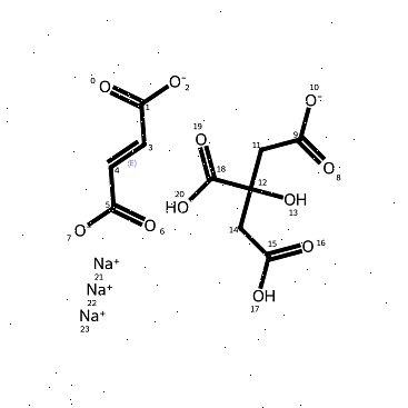 O=C([O-])/C=C/C(=O)[O-].O=C([O-])CC(O)(CC(=O)O)C(=O)O.[Na+].[Na+].[Na+]